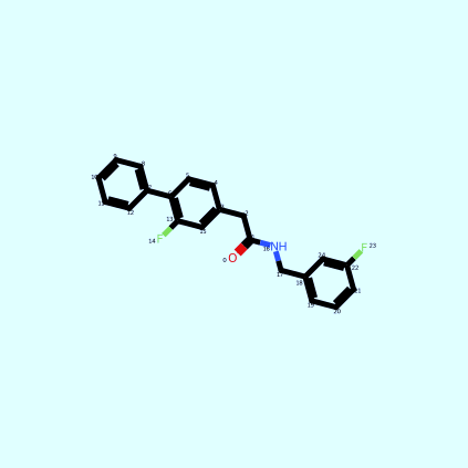 O=C(Cc1ccc(-c2ccccc2)c(F)c1)NCc1cccc(F)c1